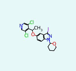 C[C@@H](Oc1ccc2c(c1)c(I)nn2C1CCCCO1)c1c(Cl)cncc1Cl